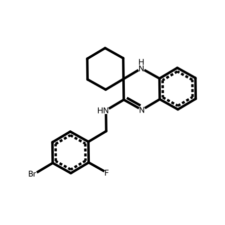 Fc1cc(Br)ccc1CNC1=Nc2ccccc2NC12CCCCC2